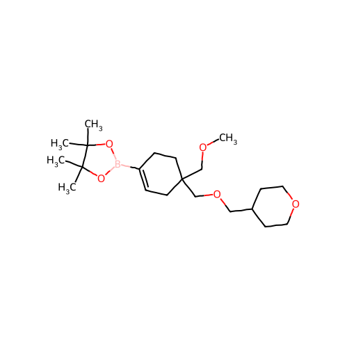 COCC1(COCC2CCOCC2)CC=C(B2OC(C)(C)C(C)(C)O2)CC1